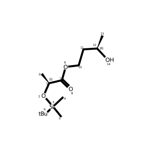 C[C@H](O[Si](C)(C)C(C)(C)C)C(=O)OCC[C@@H](C)O